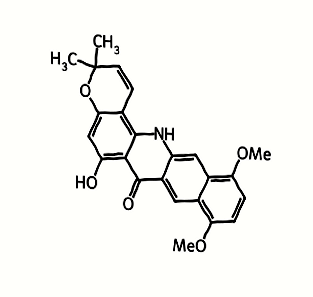 COc1ccc(OC)c2cc3c(=O)c4c(O)cc5c(c4[nH]c3cc12)C=CC(C)(C)O5